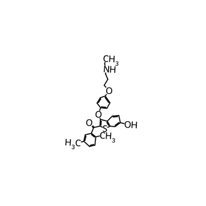 CCNCCCOc1ccc(Oc2c(C(=O)c3cc(C)ccc3C)sc3cc(O)ccc23)cc1